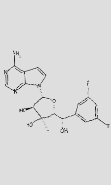 C[C@@]1(O)[C@@H]([C@@H](O)c2cc(F)cc(F)c2)O[C@@H](n2ccc3c(N)ncnc32)[C@@H]1O